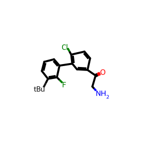 CC(C)(C)c1cccc(-c2cc(C(=O)CN)ccc2Cl)c1F